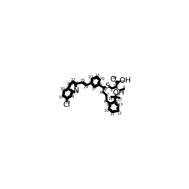 CC[C@H](CS[C@@H](CCCc1ccccc1C(C)(C)O)c1cccc(C=Cc2ccc3ccc(Cl)cc3n2)c1)C(=O)O